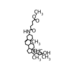 CCOC(=O)CCCC(=O)NC1CCC2(C)C(=CCC3C2CCC2(C)C(C(C)CCC(C)(C)O)CCC32)C1